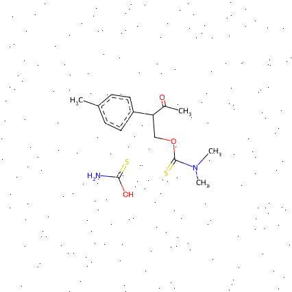 CC(=O)C(COC(=S)N(C)C)c1ccc(C)cc1.NC(O)=S